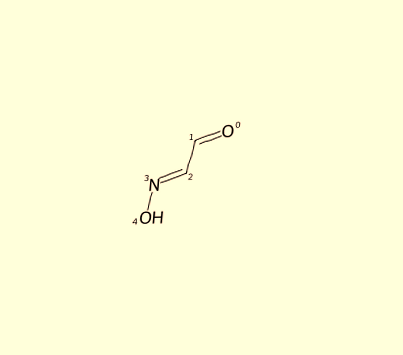 O=CC=NO